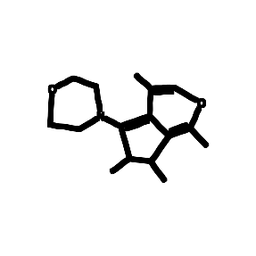 CC1=COC(C)=C2C1=C(N1CCOCC1)C(C)C2C